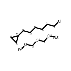 CCOCOCOCC.ClCCCCCCC1CC1